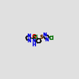 O=C(Nc1cccc(Sc2cnc(Cl)cn2)c1Cl)c1ncccn1